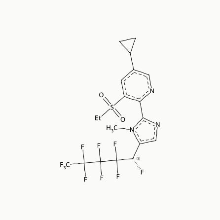 CCS(=O)(=O)c1cc(C2CC2)cnc1-c1ncc([C@H](F)C(F)(F)C(F)(F)C(F)(F)C(F)(F)F)n1C